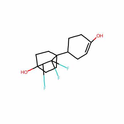 OC1=CCC(C23CCC(O)(CC2)C(F)C3(F)F)CC1